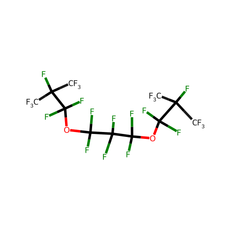 FC(F)(F)C(F)(C(F)(F)F)C(F)(F)OC(F)(F)C(F)(F)C(F)(F)OC(F)(F)C(F)(C(F)(F)F)C(F)(F)F